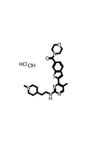 Cc1cnc(NCCC2CCN(C)CC2)nc1-c1cc2ccc(C(=O)N3CCOCC3)cc2s1.Cl.Cl